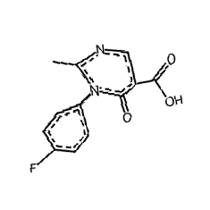 Cc1ncc(C(=O)O)c(=O)n1-c1ccc(F)cc1